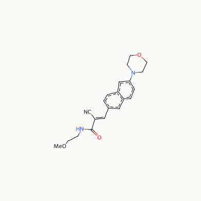 COCCNC(=O)/C(C#N)=C/c1ccc2cc(N3CCOCC3)ccc2c1